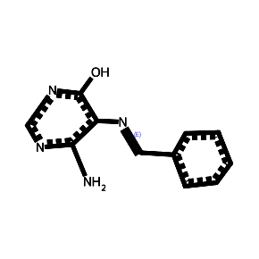 Nc1ncnc(O)c1/N=C/c1ccccc1